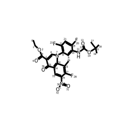 CCOC(=O)c1cn(-c2cc(NC(=O)OC(C)(C)C)c(F)cc2F)c2c(C)c(F)c([N+](=O)[O-])cc2c1=O